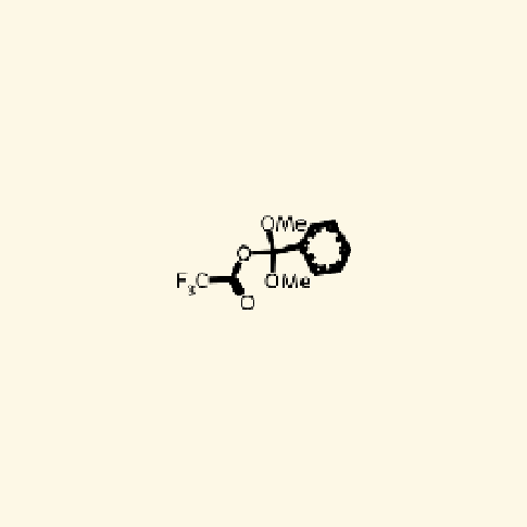 COC(OC)(OC(=O)C(F)(F)F)c1ccccc1